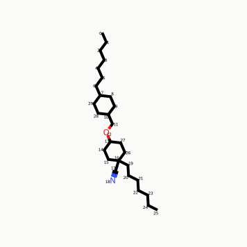 CCCCCCCC1CCC(COC2CCC(C#N)(CCCCCCC)CC2)CC1